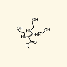 COC(=O)C(NCCO)=C(NCCO)NCCO